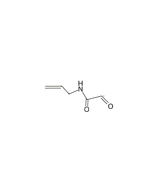 C=CCNC(=O)[C]=O